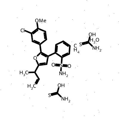 C.C=CC(C)c1cc(-c2ccccc2S(N)(=O)=O)c(-c2ccc(OC)c(Cl)c2)o1.NC(O)=S.NC(O)=S.O